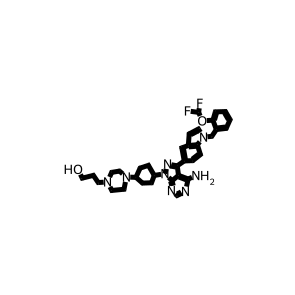 Nc1ncnc2c1c(-c1ccc3c(ccn3Cc3ccccc3OC(F)F)c1)nn2C1CCC(N2CCN(CCCO)CC2)CC1